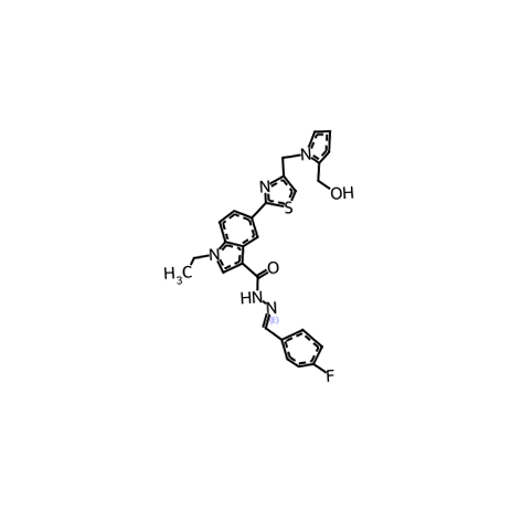 CCn1cc(C(=O)N/N=C/c2ccc(F)cc2)c2cc(-c3nc(Cn4cccc4CO)cs3)ccc21